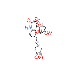 CO[C@@H]1C(=O)Nc2ccc(/C=C/[C@]3(C)CC[C@H](O)[C@@H](C)C3)c(O)c2[C@@]1(O)c1ccc(O)cc1